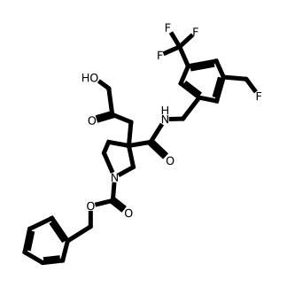 O=C(CO)CC1(C(=O)NCc2cc(CF)cc(C(F)(F)F)c2)CCN(C(=O)OCc2ccccc2)C1